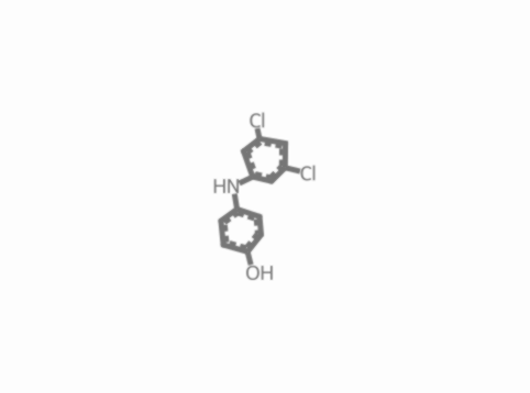 Oc1ccc(Nc2cc(Cl)cc(Cl)c2)cc1